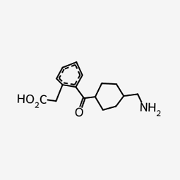 NCC1CCC(C(=O)c2ccccc2CC(=O)O)CC1